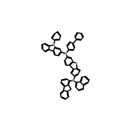 c1ccc(-c2ccc(N(c3ccc4c(c3)sc3ccc(N(c5cccc6c5Cc5ccccc5-6)c5cccc6ccccc56)cc34)c3ccc4c5ccccc5n(-c5ccccc5)c4c3)cc2)cc1